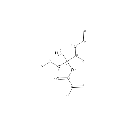 C=C(C)C(=O)OC([SiH3])(OCC)C(C)OCC